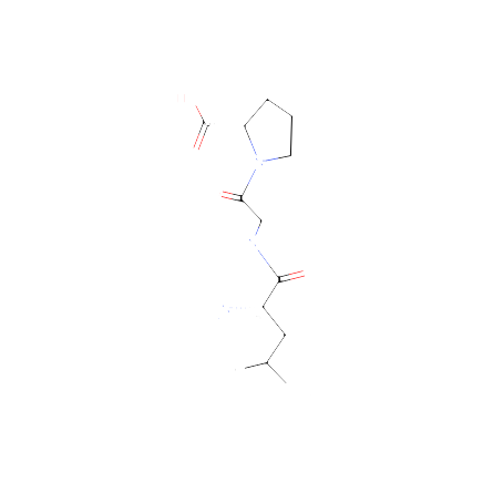 CC(C)C[C@H](N)C(=O)NCC(=O)N1CCC[C@H]1C(=O)O